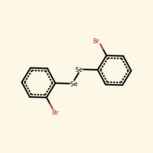 Brc1ccccc1[Se][Se]c1ccccc1Br